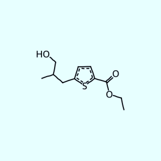 CCOC(=O)c1ccc(CC(C)CO)s1